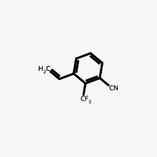 C=Cc1cccc(C#N)c1C(F)(F)F